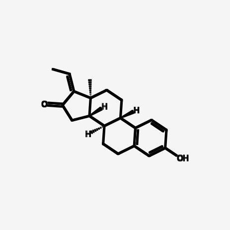 C/C=C1\C(=O)C[C@H]2[C@@H]3CCc4cc(O)ccc4[C@H]3CC[C@]12C